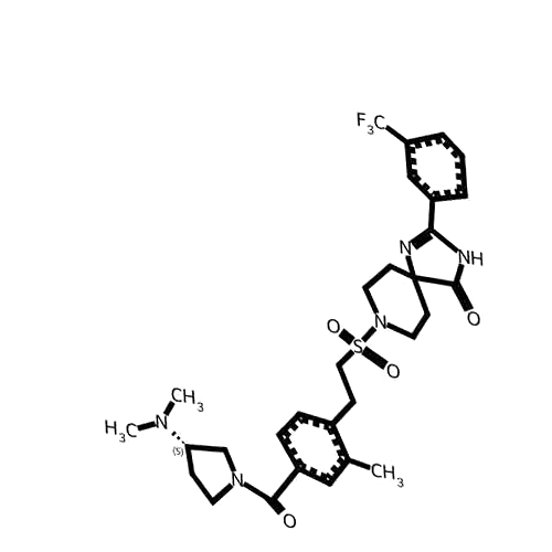 Cc1cc(C(=O)N2CC[C@H](N(C)C)C2)ccc1CCS(=O)(=O)N1CCC2(CC1)N=C(c1cccc(C(F)(F)F)c1)NC2=O